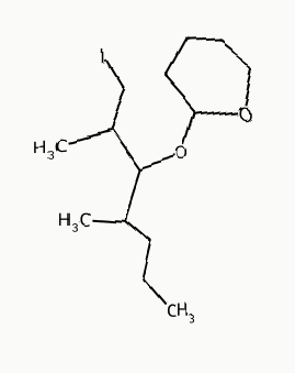 CCCC(C)C(OC1CCCCO1)C(C)CI